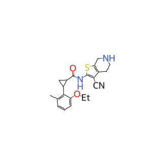 CCOc1cccc(C)c1C1CC1C(=O)Nc1sc2c(c1C#N)CCNC2